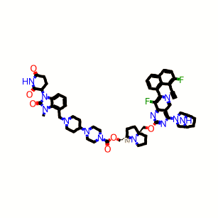 C#Cc1c(F)ccc2cccc(-c3ncc4c(N5CC6CCC(C5)N6)nc(OC[C@@]56CCCN5[C@H](COC(=O)N5CCN(C7CCN(Cc8cccc9c8n(C)c(=O)n9C8CCC(=O)NC8=O)CC7)CC5)CC6)nc4c3F)c12